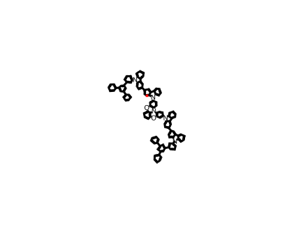 c1ccc(-c2cc(-c3ccccc3)cc(-c3cccc(-n4c5ccccc5c5cc(-c6ccc7c(c6)c6ccccc6n7-c6ccc7c(c6)Oc6cccc8c6N7c6ccc(-n7c9ccccc9c9cc(-c%10ccc%11c(c%10)c%10ccccc%10n%11-c%10cccc(-c%11cc(-c%12ccccc%12)cc(-c%12ccccc%12)c%11)c%10)ccc97)cc6O8)ccc54)c3)c2)cc1